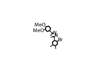 COc1ccc(-c2nnc(-c3cc(C)c(C)cc3Br)s2)cc1OC